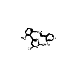 COc1cccc(OCc2ccncc2)c1-c1cc(Cl)nc(N)n1